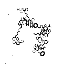 CC[C@H](C)[C@@H]([C@@H](CC(=O)N1CCC[C@H]1[C@H](OC)[C@@H](C)C(=O)N[C@@H](Cc1ccccc1)C(=O)O)OC)N(C)C(=O)[C@@H](NC(=O)[C@H](C(C)C)N(C)C(=O)OCc1ccc(NC(=O)[C@H](CCCNC(N)=O)NC(=O)[C@@H](NC(=O)CCCCCCC(=O)ON2C(=O)CCC2=O)C(C)C)cc1)C(C)C